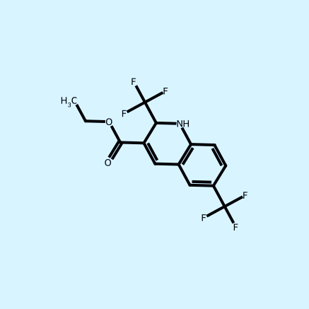 CCOC(=O)C1=Cc2cc(C(F)(F)F)ccc2NC1C(F)(F)F